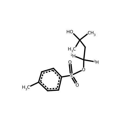 [2H]C([2H])(CC(C)(C)O)OS(=O)(=O)c1ccc(C)cc1